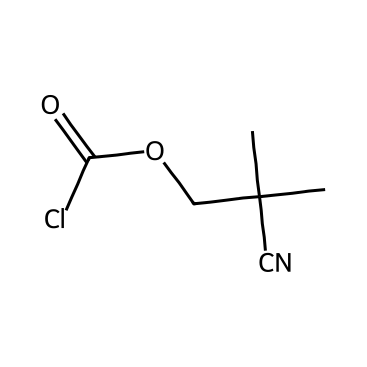 CC(C)(C#N)COC(=O)Cl